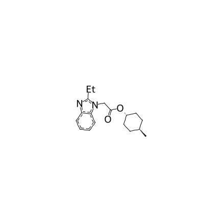 CCc1nc2ccccc2n1CC(=O)O[C@H]1CC[C@H](C)CC1